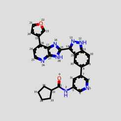 O=C(Nc1cncc(-c2ccc3[nH]nc(-c4nc5c(-c6ccoc6)ccnc5[nH]4)c3c2)c1)C1CCCC1